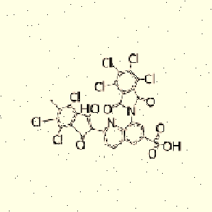 Cc1c(Cl)c(Cl)c2c(c1Cl)C(O)=C(c1ccc3cc(S(=O)(=O)O)cc(N4C(=O)c5c(Cl)c(Cl)c(Cl)c(Cl)c5C4=O)c3n1)C2=O